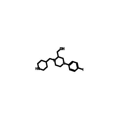 OCC1CN(c2ccc(I)cc2)CCN1CC1CCNCC1